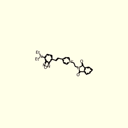 CCN(CC)c1ccc(/C=C/c2cc[n+](CCN3C(=O)c4ccccc4C3=O)cc2)c2nonc12